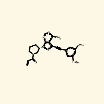 C=CC(=O)N1CCC[C@H](n2nc(C#Cc3cc(OC)cc(OC)c3)c3c(N)ncnc32)C1